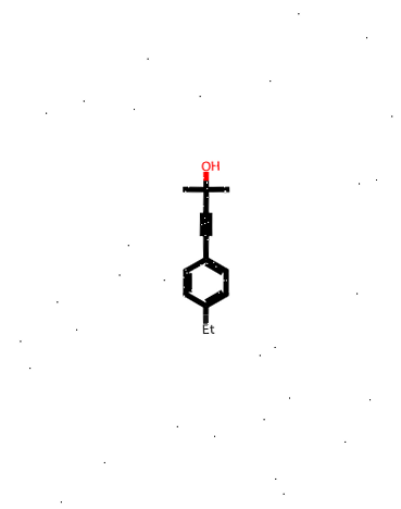 CCc1ccc(C#CC(C)(C)O)cc1